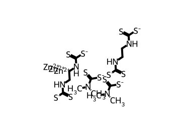 CN(C)C(=S)[S-].CN(C)C(=S)[S-].S=C([S-])NCCNC(=S)[S-].S=C([S-])NCCNC(=S)[S-].[Zn+2].[Zn+2].[Zn+2]